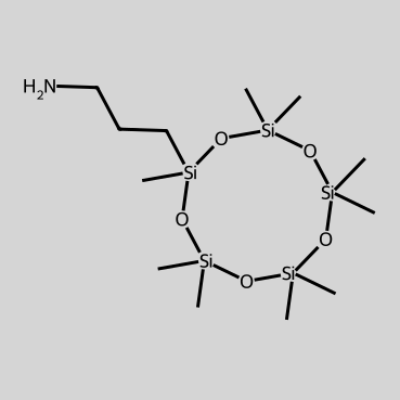 C[Si]1(C)O[Si](C)(C)O[Si](C)(C)O[Si](C)(CCCN)O[Si](C)(C)O1